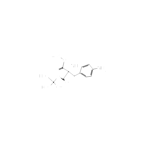 COC(=O)[C@@](N)(Cc1ccc(N)cc1)C(=O)OC(C)(C)C